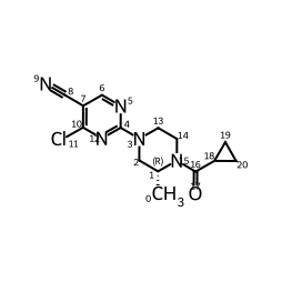 C[C@@H]1CN(c2ncc(C#N)c(Cl)n2)CCN1C(=O)C1CC1